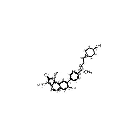 CC(C)n1c(=O)n(C)c2nnc3cc(F)c(-c4ccc([C@@H](C)OCCN5CCC(C#N)CC5)nc4)cc3c21